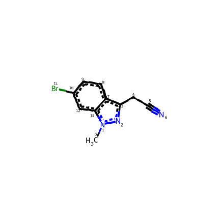 Cn1nc(CC#N)c2ccc(Br)cc21